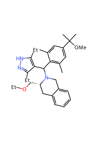 CCOC[C@H]1Cc2ccccc2CN1C(c1c(C)cc(C(C)(C)OC)cc1C)c1c(CC)n[nH]c1CC